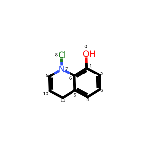 Oc1cccc2c1N(Cl)C=CC2